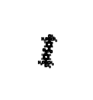 C[Si](C)(C)c1ccc(C(=O)C(=O)c2ccc([Si](C)(C)C)cc2)cc1